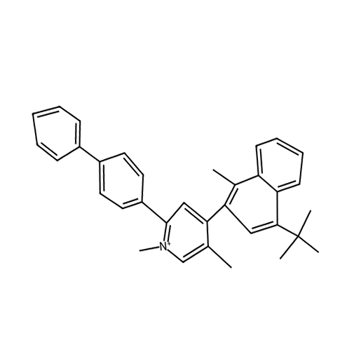 Cc1c[n+](C)c(-c2ccc(-c3ccccc3)cc2)cc1-c1cc(C(C)(C)C)c2ccccc2c1C